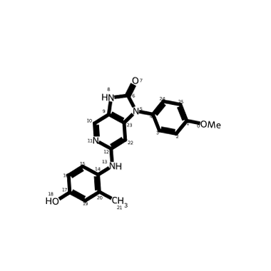 COc1ccc(-n2c(=O)[nH]c3cnc(Nc4ccc(O)cc4C)cc32)cc1